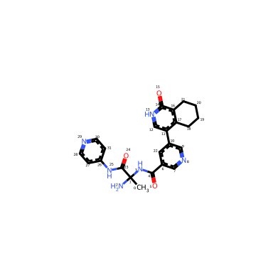 CC(N)(NC(=O)c1cncc(-c2c[nH]c(=O)c3c2CCCC3)c1)C(=O)Nc1ccncc1